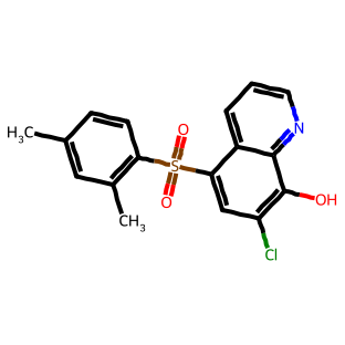 Cc1ccc(S(=O)(=O)c2cc(Cl)c(O)c3ncccc23)c(C)c1